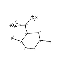 CC1CCC(C(C)C)C(C(C(=O)O)C(=O)O)C1